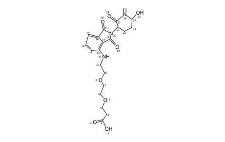 O=C(O)CCOCCOCCNc1cccc2c1C(=O)N(C1CCC(O)NC1=O)C2=O